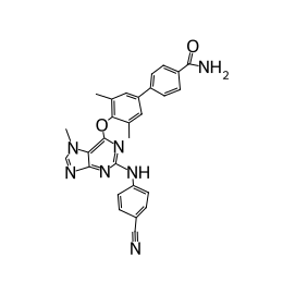 Cc1cc(-c2ccc(C(N)=O)cc2)cc(C)c1Oc1nc(Nc2ccc(C#N)cc2)nc2ncn(C)c12